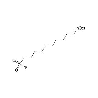 CCCCCCCCCCCCCCCCCCS(=O)(=O)F